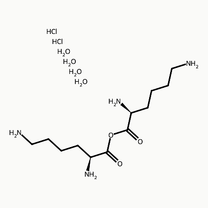 Cl.Cl.NCCCC[C@H](N)C(=O)OC(=O)[C@@H](N)CCCCN.O.O.O.O